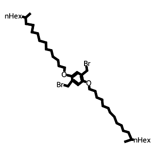 CCCCCCC(C)CCCCCCCCCCCCOc1cc(CBr)c(OCCCCCCCCCCCCC(C)CCCCCC)cc1CBr